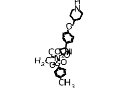 Cc1ccc(S(=O)(=O)N([C@H]2CC(c3ccc(OCC4CCNCC4)cc3)=NO2)[C@@H](C)C(=O)O)cc1